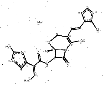 CON=C(C(=O)NC1C(=O)N2C(C(=O)[O-])=C(C=Cc3scnc3Cl)CS[C@@H]12)c1csc(N)n1.[Na+]